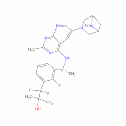 CC(=O)N1C2CC1CN(c1cnc3nc(C)nc(N[C@H](C)c4cccc(C(F)(F)C(C)(C)O)c4F)c3c1)C2